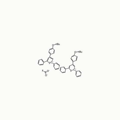 CCCCOc1ccc(-c2cc(-c3ccccc3)s[c+](-c3ccccc3)c2)cc1.CCCCOc1ccc(-c2cc(-c3ccccc3)s[c+](-c3ccccc3)c2)cc1.[O-]B([O-])F